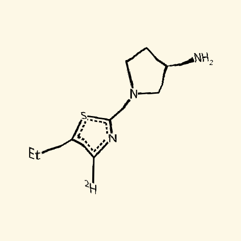 [2H]c1nc(N2CC[C@@H](N)C2)sc1CC